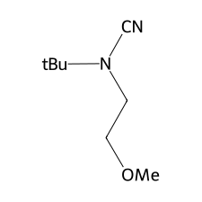 COCCN(C#N)C(C)(C)C